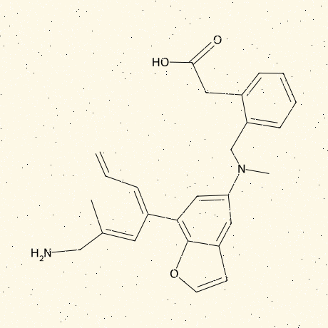 C=C/C=C(\C=C(/C)CN)c1cc(N(C)Cc2ccccc2CC(=O)O)cc2ccoc12